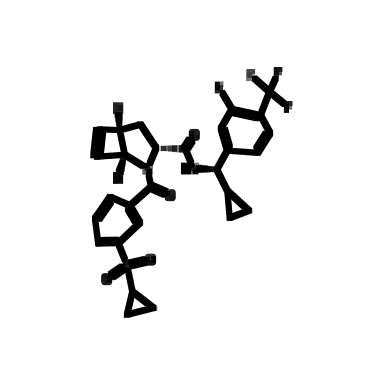 O=C(N[C@@H](c1ccc(C(F)(F)F)c(F)c1)C1CC1)[C@H]1C[C@H]2C#C[C@H]2N1C(=O)c1cccc(S(=O)(=O)C2CC2)c1